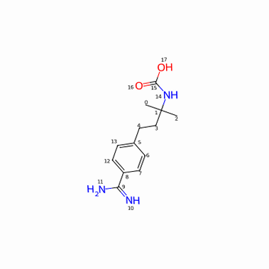 CC(C)(CCc1ccc(C(=N)N)cc1)NC(=O)O